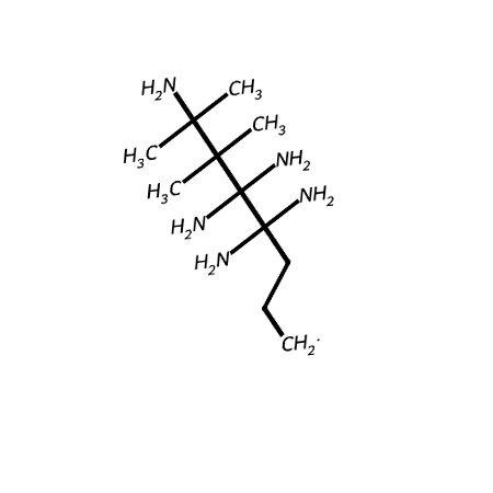 [CH2]CCC(N)(N)C(N)(N)C(C)(C)C(C)(C)N